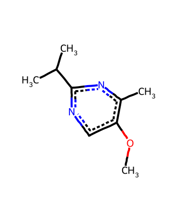 COc1cnc(C(C)C)nc1C